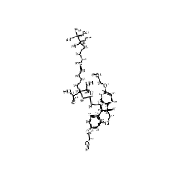 COCOc1ccc(C2(C)COc3cc(OCOC)ccc3C2CCCCC(CCCCSCCCC(F)(F)C(F)(F)F)(C(=O)O)C(=O)O)cc1